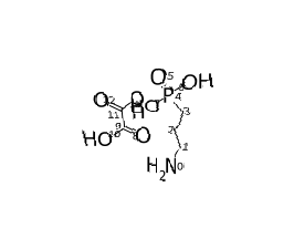 NCCCP(=O)(O)O.O=C(O)C(=O)O